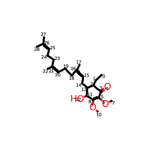 CCC1C(=O)C(OC)=C(OC)C(O)C1CC=C(C)CCC=C(C)CCC=C(C)C